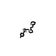 Cc1ccc(-c2noc(CN3CCCCC3CCc3ccccn3)n2)cc1